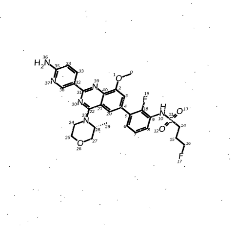 COc1cc(-c2cccc(NS(=O)(=O)CCCF)c2F)cc2c(N3CCOC[C@H]3C)nc(-c3ccc(N)nc3)nc12